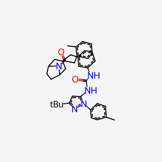 Cc1ccc(-n2nc(C(C)(C)C)cc2NC(=O)Nc2cccc(CC3CC4CCC(C3)N4C(=O)Cc3ccccc3C)c2)cc1